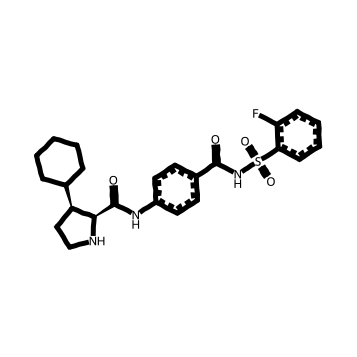 O=C(NS(=O)(=O)c1ccccc1F)c1ccc(NC(=O)[C@H]2NCC[C@H]2C2CCCCC2)cc1